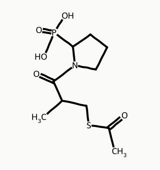 CC(=O)SCC(C)C(=O)N1CCCC1P(=O)(O)O